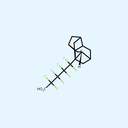 O=C(O)C(F)(F)C(F)(F)C(F)(F)C(F)(F)[C@@H]1CC2CC3CC4CC1CC3C42